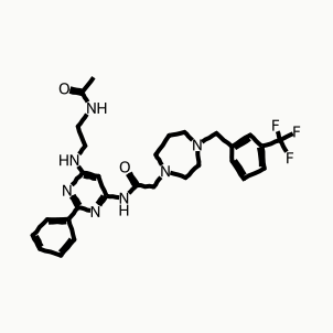 CC(=O)NCCNc1cc(NC(=O)CN2CCCN(Cc3cccc(C(F)(F)F)c3)CC2)nc(-c2ccccc2)n1